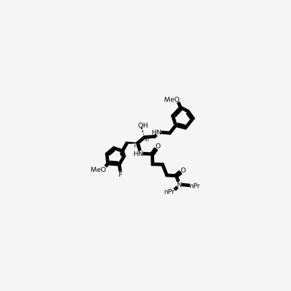 CCCN(CCC)C(=O)CCCC(=O)N[C@@H](Cc1ccc(OC)c(F)c1)[C@H](O)CNCc1cccc(OC)c1